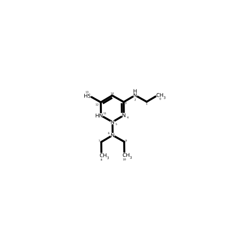 CCNC1=NN(N(CC)CC)NC(S)=C1